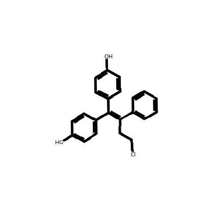 Oc1ccc(C(=C(CCCl)c2ccccc2)c2ccc(O)cc2)cc1